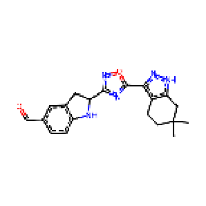 CC1(C)CCc2c(-c3nc(C4Cc5cc(C=O)ccc5N4)no3)n[nH]c2C1